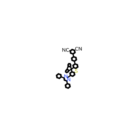 N#Cc1cc(C#N)cc(-c2ccc(-c3ccc4c(c3)C3(c5cc(-c6nc(-c7ccccc7)cc(-c7ccccc7)n6)ccc5S4)c4ccccc4-c4ccccc43)cc2)c1